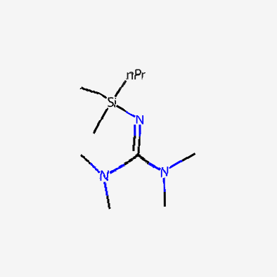 CCC[Si](C)(C)N=C(N(C)C)N(C)C